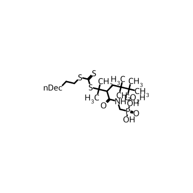 CCCCCCCCCCCCSC(=S)SC(C)(C)C(CC(C)(C)C(C)(C)C(=O)O)C(=O)NCP(=O)(O)O